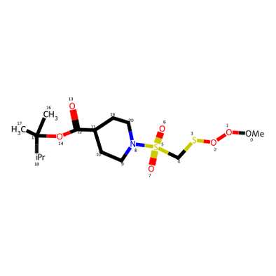 COOOSCS(=O)(=O)N1CCC(C(=O)OC(C)(C)C(C)C)CC1